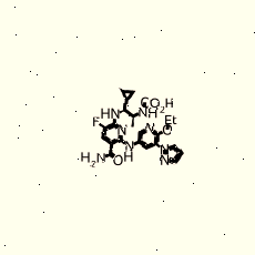 CCOc1ncc(Nc2nc(N[C@@H](C3CC3)[C@H](C)NC(=O)O)c(F)cc2C(N)=O)cc1-n1cccn1